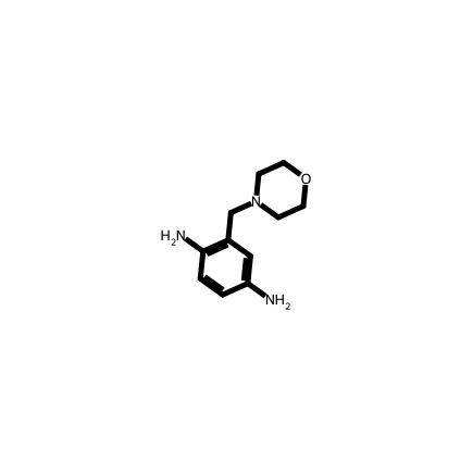 Nc1ccc(N)c(CN2CCOCC2)c1